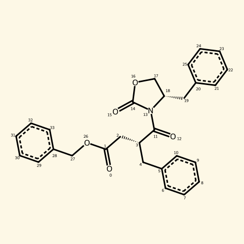 O=C(C[C@@H](Cc1ccccc1)C(=O)N1C(=O)OC[C@@H]1Cc1ccccc1)OCc1ccccc1